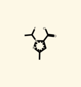 Cc1cc(C(=O)Cl)n(C(C)F)n1